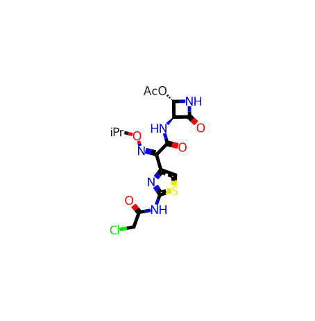 CC(=O)O[C@@H]1NC(=O)[C@H]1NC(=O)C(=NOC(C)C)c1csc(NC(=O)CCl)n1